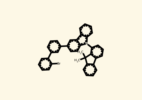 CC1(C)c2ccccc2-c2cccc(-n3c4ccccc4c4cc(-c5cccc(-c6ccccc6Br)c5)ccc43)c21